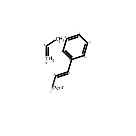 C=CC.CCCCCC=Cc1ccccc1